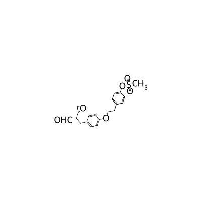 CS(=O)(=O)Oc1ccc(CCOc2ccc(C[C@H](C=O)C3CO3)cc2)cc1